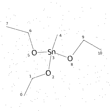 CC[O][Sn]([CH3])([O]CC)[O]CC